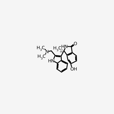 CN(C)Cc1[nH]c2ccccc2c1[C@@]1(C)NC(=O)c2ccc(O)cc21